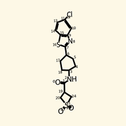 O=C(NC1CCC(c2nc3cc(Cl)ccc3s2)CC1)C1CS(=O)(=O)C1